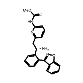 COC(=O)Nc1cccc(C[C@H](N)c2ccccc2-c2noc3ccccc23)n1